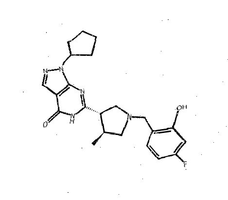 C[C@@H]1CN(Cc2ccc(F)cc2O)C[C@H]1c1nc2c(cnn2C2CCCC2)c(=O)[nH]1